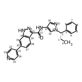 CC[C@@H](c1ccccc1)n1cc(NC(=O)c2n[nH]c3cc(-c4ccncc4)ccc23)cn1